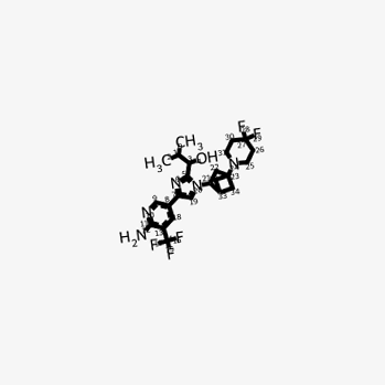 CC(C)C(O)c1nc(-c2cnc(N)c(C(F)(F)F)c2)cn1C1CC2(N3CCC(F)(F)CC3)CC1C2